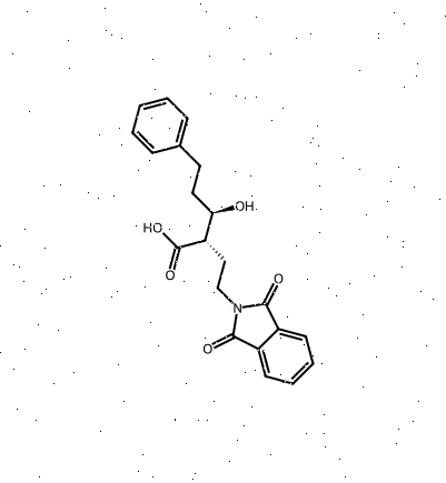 O=C(O)[C@@H](CCN1C(=O)c2ccccc2C1=O)[C@H](O)CCc1ccccc1